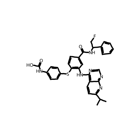 CC(C)c1ccc2c(Nc3cc(C(=O)NC(CF)c4ccccc4)ccc3Sc3ccc(NC(=O)O)cc3)ncnc2n1